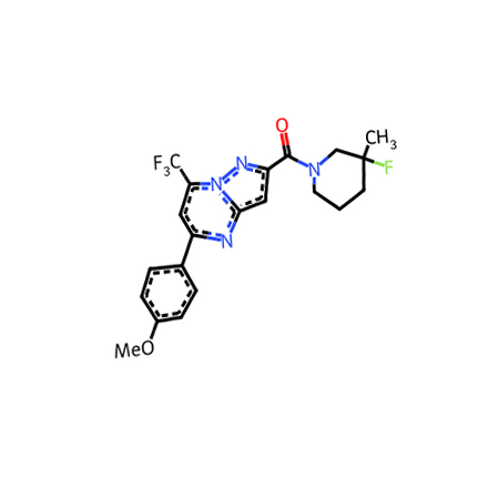 COc1ccc(-c2cc(C(F)(F)F)n3nc(C(=O)N4CCCC(C)(F)C4)cc3n2)cc1